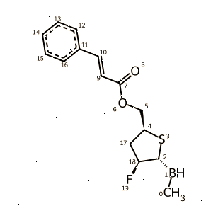 CB[C@H]1S[C@H](COC(=O)/C=C/c2ccccc2)C[C@@H]1F